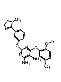 CCOc1ccc(C#N)cc1Oc1nc(Oc2cccc(C3=NCCN3C)c2)nc(N)c1N